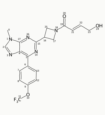 Cn1cnc2c(-c3ccc(OC(F)(F)F)cc3)nc(C3CN(C(=O)/C=C/CO)C3)nc21